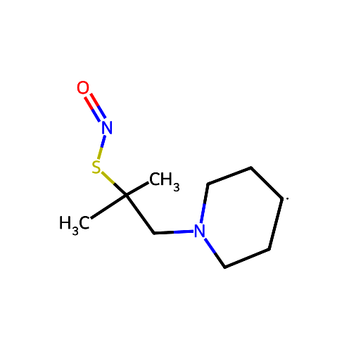 CC(C)(CN1CC[CH]CC1)SN=O